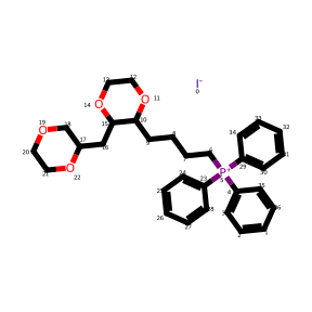 [I-].c1ccc([P+](CCCCC2OCCOC2CC2COCCO2)(c2ccccc2)c2ccccc2)cc1